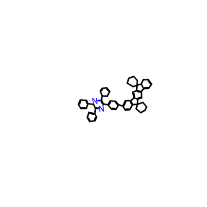 C1=CCC(c2nc(-c3ccccc3)c(-c3ccccc3)nc2-c2ccc(-c3ccc4c(c3)-c3cc5c(cc3C43CCCCC3)C3=CC=CCC3C53CCCCC3)cc2)C=C1